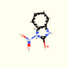 O=[N+]([O-])n1c(O)nc2ccccc21